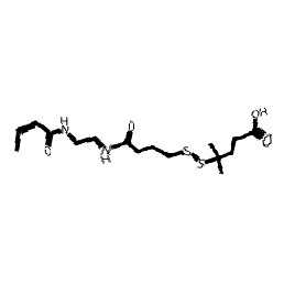 C/C=C\C(=O)NCCNC(=O)CCCSSC(C)(C)CCC(=O)O